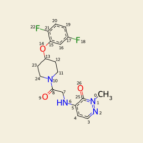 Cn1nccc(NCC(=O)N2CCC(Oc3cc(F)ccc3F)CC2)c1=O